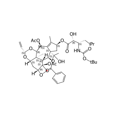 C=C[C@H]1O[C@H]2C[C@H]3OC[C@@]3(OC(C)=O)[C@H]3[C@H](OC(=O)c4ccccc4)[C@]4(C(C)(C)O)C[C@H](OC(=O)[C@H](O)[C@H](CC(C)C)NC(=O)OC(C)(C)C)C(C)=C4[C@H](OC(C)=O)[C@H](O1)[C@]23C